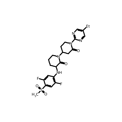 CCc1cnc(N2CCC(N3CCCC(Nc4cc(F)c(S(C)(=O)=O)cc4F)C3=O)CC2=O)nc1